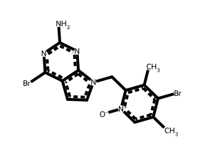 Cc1c[n+]([O-])c(Cn2ccc3c(Br)nc(N)nc32)c(C)c1Br